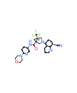 N#Cc1ccc(N2C[C@]3(C(=O)Nc4ccc(N5CCOCC5)nc4)C[C@]3(C(F)(F)F)C2)c2cccnc12